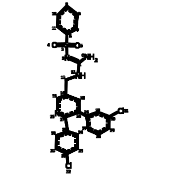 N/C(=N\S(=O)(=O)c1ccccc1)NCc1cnc(-c2ccc(Cl)cc2)c(-c2cccc(Cl)c2)c1